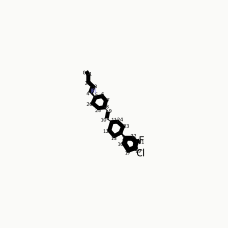 CCC/C=C/[C@H]1CC[C@H](CC[C@H]2CC[C@H](c3ccc(Cl)c(F)c3)CC2)CC1